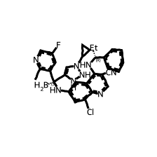 B[C@@](Nc1cc(Cl)c2ncc(C#N)c(N[C@H](CC)c3ccccc3)c2c1)(C1=CN(C2CC2)NN1)c1cc(F)cnc1C